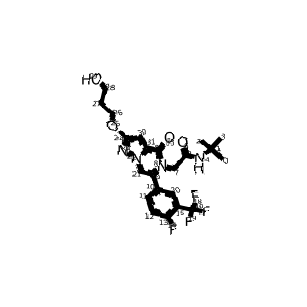 CC(C)(C)NC(=O)Cn1c(-c2ccc(F)c(C(F)(F)F)c2)cn2nc(OCCCO)cc2c1=O